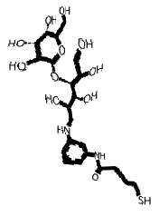 O=C(CCCS)Nc1cccc(NCC(O)[C@H](O)[C@@H](O[C@@H]2OC(CO)[C@@H](O)[C@@H](O)C2O)C(O)CO)c1